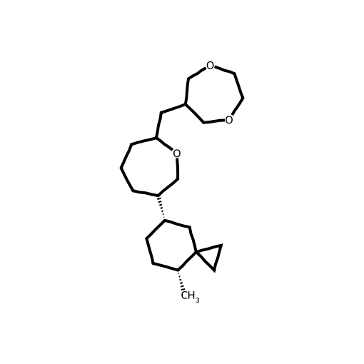 C[C@@H]1CC[C@H](C2CCCC(CC3COCCOC3)OC2)CC12CC2